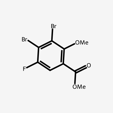 COC(=O)c1cc(F)c(Br)c(Br)c1OC